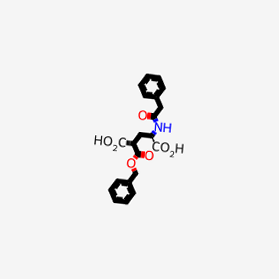 O=C(Cc1ccccc1)N[C@@H](CC(C(=O)O)C(=O)OCc1ccccc1)C(=O)O